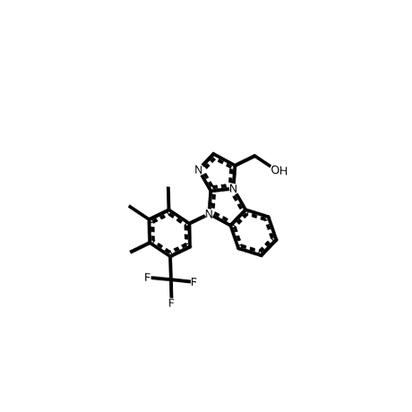 Cc1c(-n2c3ccccc3n3c(CO)cnc23)cc(C(F)(F)F)c(C)c1C